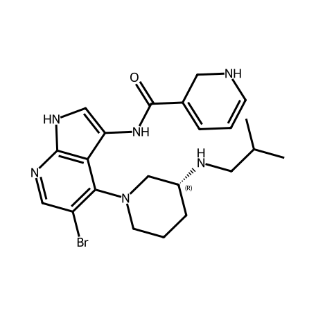 CC(C)CN[C@@H]1CCCN(c2c(Br)cnc3[nH]cc(NC(=O)C4=CC=CNC4)c23)C1